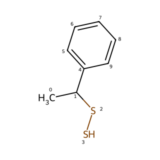 CC(SS)c1ccccc1